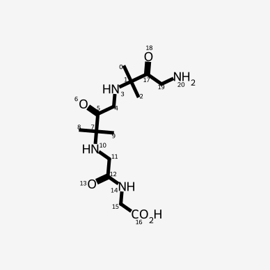 CC(C)(NCC(=O)C(C)(C)NCC(=O)NCC(=O)O)C(=O)CN